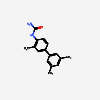 Cc1cc(C)cc(-c2ccc(NC(N)=O)c(C)c2)c1